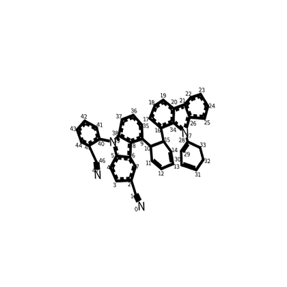 N#Cc1ccc2c(c1)c1c(C3C=CC=CC3c3cccc4c5ccccc5n(C5=CC=CCC5)c34)cccc1n2-c1ccccc1C#N